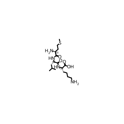 CSCC[C@H](N)C(=O)N[C@@H](CC(C)C)C(=O)N[C@@H](CCCCN)C(=O)O